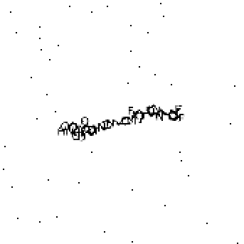 O=C1CCC(N2C(=O)c3ccc(N4CCN(CCC5CCN(c6ncc(-c7ccn8cc(-c9ccc(F)c(F)c9)nc8c7)cc6F)CC5)CC4)cc3C2=O)C(=O)N1